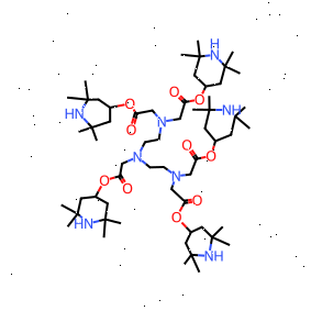 CC1(C)CC(OC(=O)CN(CCN(CC(=O)OC2CC(C)(C)NC(C)(C)C2)CC(=O)OC2CC(C)(C)NC(C)(C)C2)CCN(CC(=O)OC2CC(C)(C)NC(C)(C)C2)CC(=O)OC2CC(C)(C)NC(C)(C)C2)CC(C)(C)N1